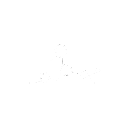 Cc1cc(Nc2cc(N3CC(O)(C4CC4)C3)nc(-c3ccccc3Cl)n2)n[nH]1